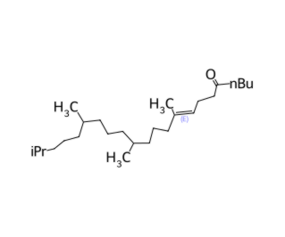 CCCCC(=O)CC/C=C(\C)CCCC(C)CCCC(C)CCCC(C)C